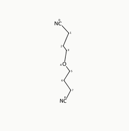 N#CCCCOCCCC#N